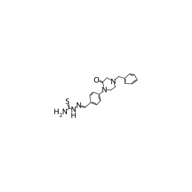 NC(=S)N/N=C/c1ccc(N2CCN(Cc3ccccc3)CC2=O)cc1